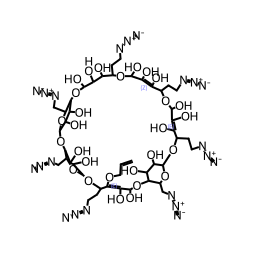 C=CCO/C1=C(/O)C(O)OC2C(CN=[N+]=[N-])OC(OC(CCN=[N+]=[N-])/C(O)=C(\O)C(O)OC(CCN=[N+]=[N-])/C(O)=C(/O)C(O)OC(CCN=[N+]=[N-])C(O)C(O)C(O)OC3C(CN=[N+]=[N-])OC(OC4C(CN=[N+]=[N-])OC(OC1CCN=[N+]=[N-])C(O)C4O)C(O)C3O)C(O)C2O